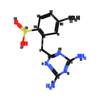 Nc1nc(N)nc(Cc2cc(S(=O)(=O)O)ccc2S(=O)O)n1